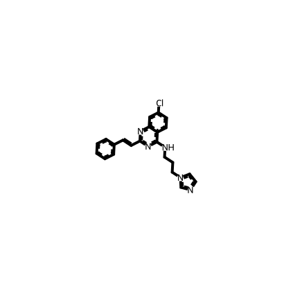 Clc1ccc2c(NCCCn3ccnc3)nc(C=Cc3ccccc3)nc2c1